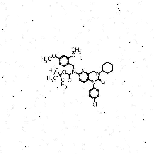 COc1ccc(CN(C(=O)OC(C)(C)C)c2ccc3c(n2)CN(C2CCCCC2)C(=O)N3c2ccc(Cl)cc2)c(OC)c1